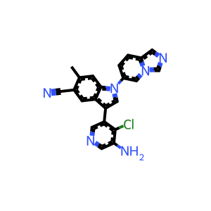 Cc1cc2c(cc1C#N)c(-c1cncc(N)c1Cl)cn2-c1ccc2cncn2c1